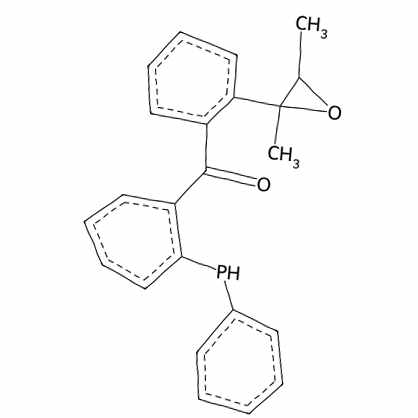 CC1OC1(C)c1ccccc1C(=O)c1ccccc1Pc1ccccc1